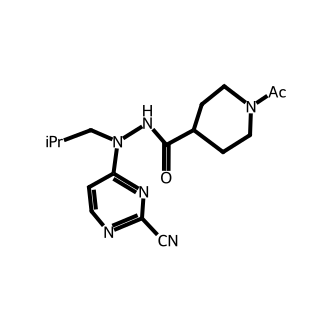 CC(=O)N1CCC(C(=O)NN(CC(C)C)c2ccnc(C#N)n2)CC1